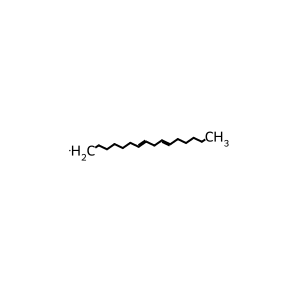 [CH2]CCCCCC=CCC=CCCCCC